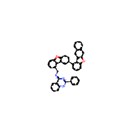 N/C(=N\C(=N/Cc1cccc2oc3ccc(-c4cccc5oc6cc7ccccc7cc6c45)cc3c12)c1ccccc1)c1ccccc1